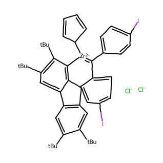 CC(C)(C)c1cc2c(cc1C(C)(C)C)-c1cc(C(C)(C)C)c(C(C)(C)C)[c]([Zr+2](=[C](c3ccc(I)cc3)c3ccc(I)cc3)[CH]3C=CC=C3)c1C2.[Cl-].[Cl-]